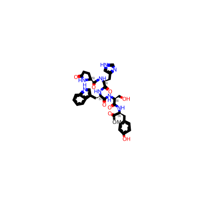 COC(=O)[C@H](Cc1ccc(O)cc1)NC(=O)[C@H](CO)NC(=O)[C@H](Cc1c[nH]c2ccccc12)NC(=O)[C@H](Cc1c[nH]cn1)NC(=O)[C@@H]1CCC(=O)N1